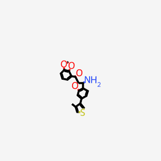 Cc1cscc1-c1ccc2c(c1)OC(C(=O)c1cccc3c1OCO3)C2N